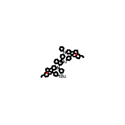 C=Cc1ccc(CC2(c3ccc(C(C)(C)C)cc3)c3ccccc3-c3ccc(N(c4ccccc4)c4ccc(-c5ccc(N(c6ccccc6)c6ccc7c(c6)C(Cc6ccc(C=C)cc6)(c6ccc(C(C)(C)C)cc6)c6ccccc6-7)c6ccccc56)cc4)cc32)cc1